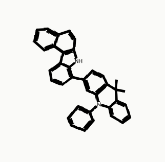 CC1(C)c2ccccc2N(c2ccccc2)c2cc(-c3cccc4c3[nH]c3ccc5ccccc5c34)ccc21